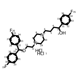 Cl.Cl.OC(CCCN1CCN(CCOC(c2ccc(F)cc2)c2ccc(F)cc2)CC1)c1ccc(F)cc1